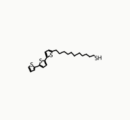 SCCCCCCCCCCCc1ccc(-c2ccc(-c3cccs3)s2)s1